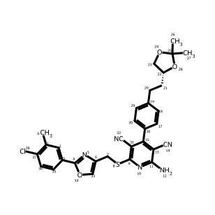 Cc1cc(-c2nc(CSc3nc(N)c(C#N)c(-c4ccc(CC[C@@H]5COC(C)(C)O5)cc4)c3C#N)co2)ccc1Cl